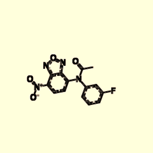 CC(=O)N(c1cccc(F)c1)c1ccc([N+](=O)[O-])c2nonc12